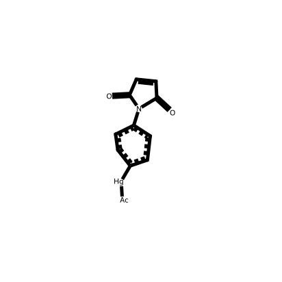 C[C](=O)[Hg][c]1ccc(N2C(=O)C=CC2=O)cc1